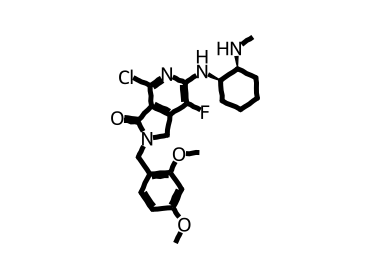 CN[C@H]1CCCC[C@H]1Nc1nc(Cl)c2c(c1F)CN(Cc1ccc(OC)cc1OC)C2=O